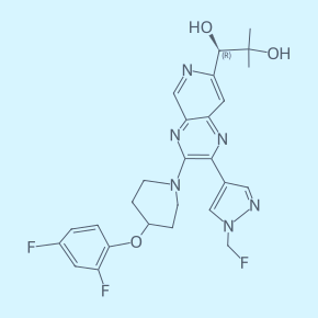 CC(C)(O)[C@H](O)c1cc2nc(-c3cnn(CF)c3)c(N3CCC(Oc4ccc(F)cc4F)CC3)nc2cn1